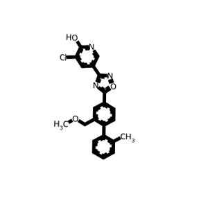 COCc1cc(-c2nc(-c3cnc(O)c(Cl)c3)no2)ccc1-c1ccccc1C